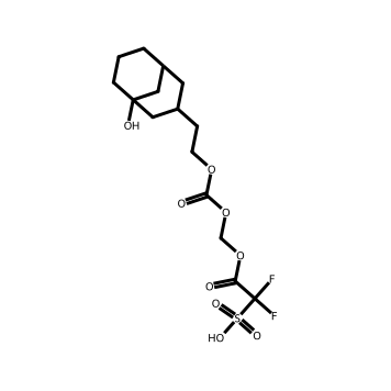 O=C(OCCC1CC2CCCC(O)(C2)C1)OCOC(=O)C(F)(F)S(=O)(=O)O